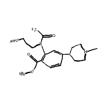 COCCN(C(=O)C(F)(F)F)c1cc(N2CCN(C)CC2)ccc1C(=O)OC(C)(C)C